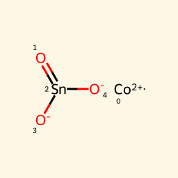 [Co+2].[O]=[Sn]([O-])[O-]